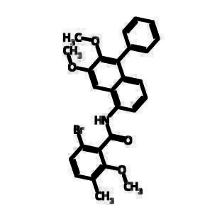 COc1cc2c(NC(=O)c3c(Br)ccc(C)c3OC)cccc2c(-c2ccccc2)c1OC